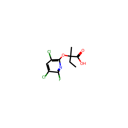 CCC(C)(Oc1nc(F)c(Cl)cc1Cl)C(=O)O